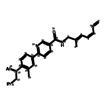 C=N/C=C\C=C(/C)CNC(=O)c1ccc(-c2ccc(N(CC(C)C)C(C)=O)c(C)c2)nc1